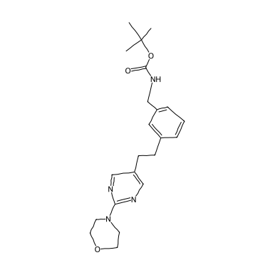 CC(C)(C)OC(=O)NCc1cccc(CCc2cnc(N3CCOCC3)nc2)c1